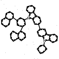 c1ccc(-n2c3ccccc3c3cc(-c4ccc5c6ccccc6n(-c6cc(-c7cccc8ccccc78)cc(-c7cccc8ccccc78)c6)c5c4)ccc32)cc1